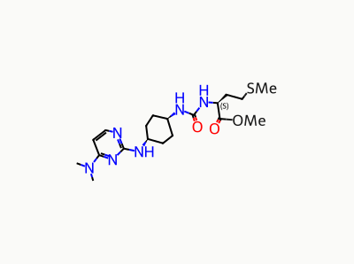 COC(=O)[C@H](CCSC)NC(=O)N[C@H]1CC[C@@H](Nc2nccc(N(C)C)n2)CC1